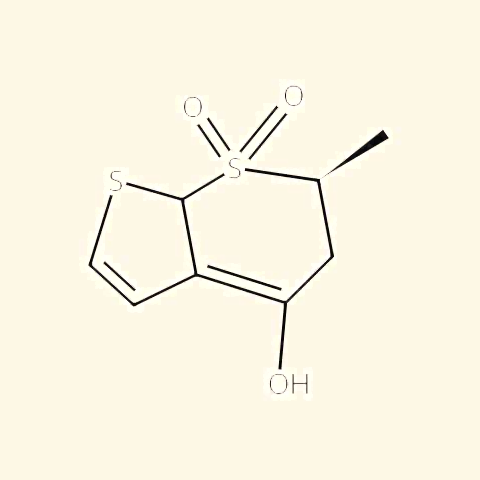 C[C@H]1CC(O)=C2C=CSC2S1(=O)=O